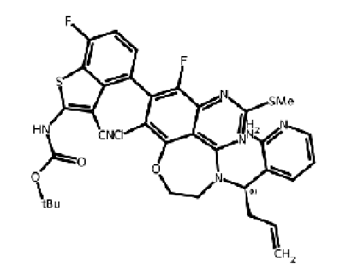 C=CC[C@H](c1cccnc1N)N1CCOc2c(Cl)c(-c3ccc(F)c4sc(NC(=O)OC(C)(C)C)c(C#N)c34)c(F)c3nc(SC)nc1c23